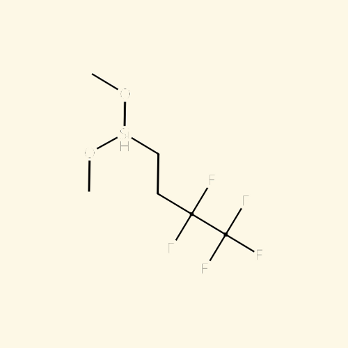 CO[SiH](CCC(F)(F)C(F)(F)F)OC